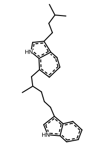 CC(C)CCc1c[nH]c2c(CC(C)CCCc3c[nH]c4ccccc34)cccc12